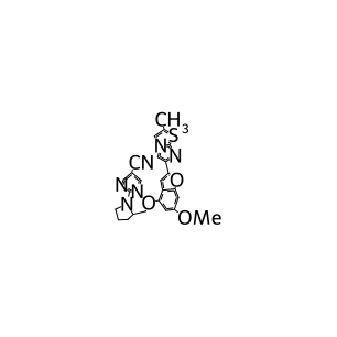 COc1cc(OCC2CCCN2c2ncc(C#N)cn2)c2cc(-c3cn4cc(C)sc4n3)oc2c1